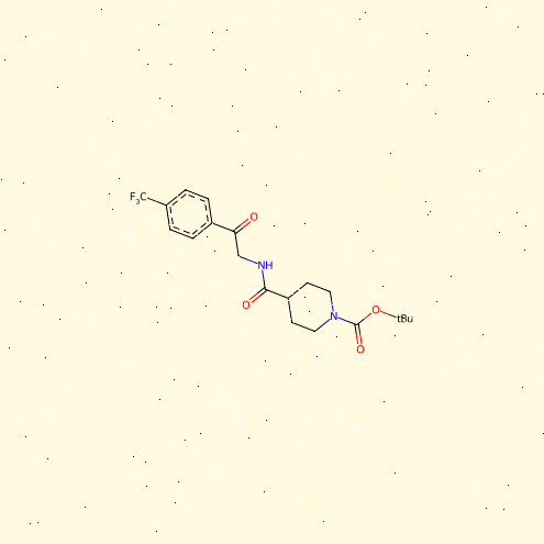 CC(C)(C)OC(=O)N1CCC(C(=O)NCC(=O)c2ccc(C(F)(F)F)cc2)CC1